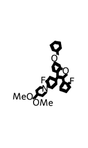 COC(OC)C1CCN(c2ccc(C3=C(c4ccccc4F)COc4cc(OCc5ccccc5)ccc43)cc2F)CC1